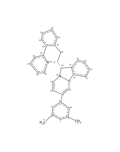 Cc1cc(C)cc(C2=CC3c4ccccc4[C@@H](CCc4ccccc4-c4ccccn4)N3C=C2)c1